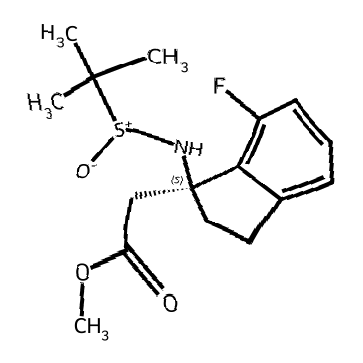 COC(=O)C[C@@]1(N[S+]([O-])C(C)(C)C)CCc2cccc(F)c21